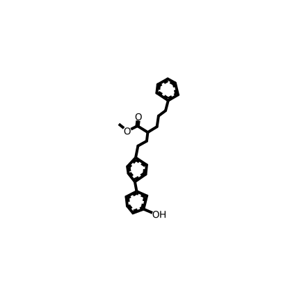 COC(=O)C(CCCc1ccccc1)CCc1ccc(-c2cccc(O)c2)cc1